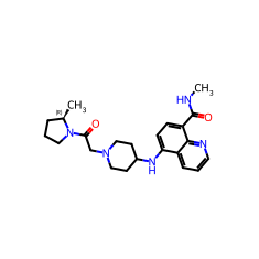 CNC(=O)c1ccc(NC2CCN(CC(=O)N3CCC[C@H]3C)CC2)c2cccnc12